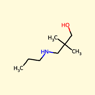 CCCNCC(C)(C)CO